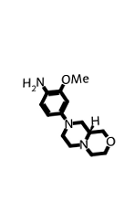 COc1cc(N2CCN3CCOC[C@H]3C2)ccc1N